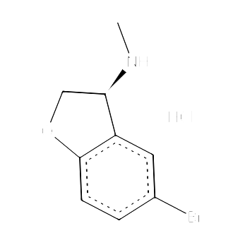 CN[C@@H]1COc2ccc(Br)cc21.Cl